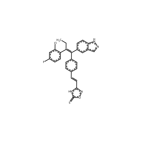 CC/C(=C(/c1ccc(/C=C/c2noc(=S)[nH]2)cc1)c1ccc2[nH]ncc2c1)c1ccc(F)cc1Cl